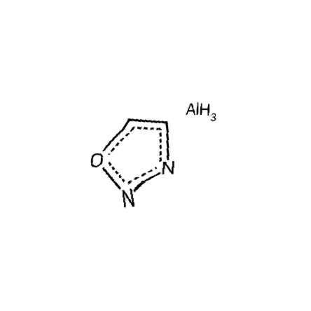 [AlH3].c1conn1